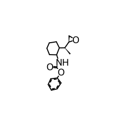 C[C@@H](C1CCCCC1NC(=O)Oc1ccccc1)[C@H]1CO1